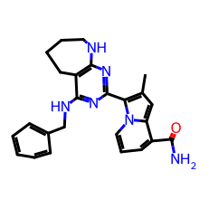 Cc1cc2c(C(N)=O)cccn2c1-c1nc2c(c(NCc3ccccc3)n1)CCCCN2